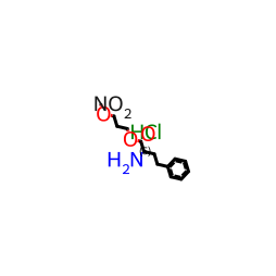 Cl.N[C@@H](CCc1ccccc1)C(=O)OCCCO[N+](=O)[O-]